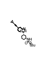 CC(C)(C)OC(=O)N[C@@H]1CCC[C@H](c2nnc3cc(C#CC4CC4)ccn23)C1